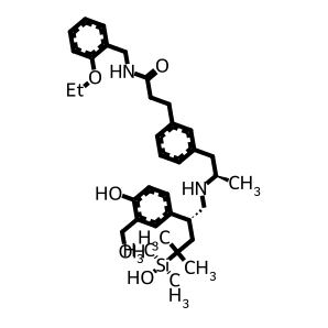 CCOc1ccccc1CNC(=O)CCc1cccc(C[C@@H](C)NC[C@H](CC(C)(C)[Si](C)(C)O)c2ccc(O)c(CO)c2)c1